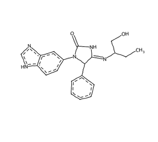 CCC(CO)N=C1NC(=O)N(c2ccc3[nH]cnc3c2)C1c1ccccc1